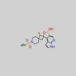 CCCS(=O)(=O)N1CCC2(CC1)CC1(OB(O)c3cnc4[nH]ccc4c31)C2C